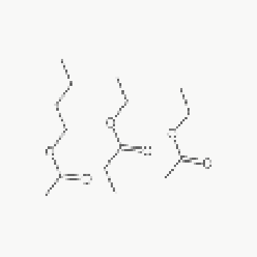 CCCCOC(C)=O.CCOC(=O)CC.CCOC(C)=O